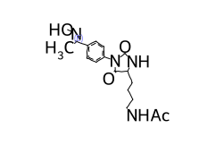 CC(=O)NCCCCC1NC(=O)N(c2ccc(/C(C)=N/O)cc2)C1=O